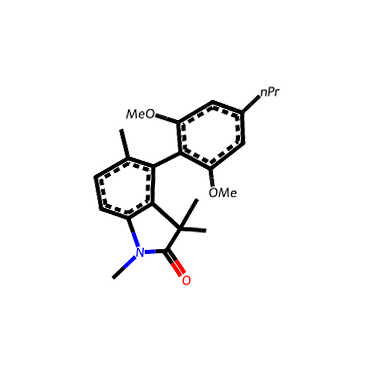 CCCc1cc(OC)c(-c2c(C)ccc3c2C(C)(C)C(=O)N3C)c(OC)c1